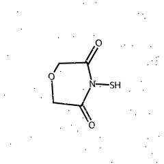 O=C1COCC(=O)N1S